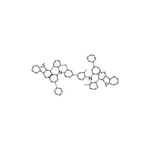 Cc1cc(-c2ccc(N(c3cccc(-c4ccccc4)c3)c3c(C)cccc3-c3cccc4c3sc3ccccc34)c(C)c2)ccc1N(c1cccc(-c2ccccc2)c1)c1c(C)cccc1-c1cccc2c1sc1ccccc12